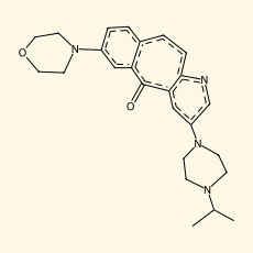 CC(C)N1CCN(c2cnc3ccc4ccc(N5CCOCC5)cc4c(=O)c3c2)CC1